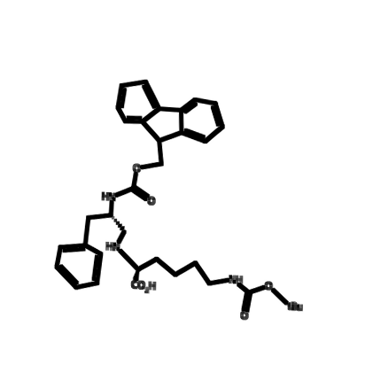 CC(C)(C)OC(=O)NCCCC[C@H](NC[C@H](Cc1ccccc1)NC(=O)OCC1c2ccccc2-c2ccccc21)C(=O)O